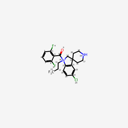 O=C(c1c(F)cccc1F)[N+]1(CCC(F)(F)F)CC2(CCNCC2)c2cc(Cl)ccc21